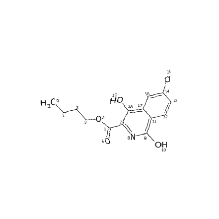 CCCCOC(=O)c1nc(O)c2ccc(Cl)cc2c1O